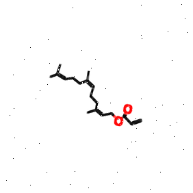 C=CC(=O)OCC=C(C)CCC=C(C)CCC=C(C)C